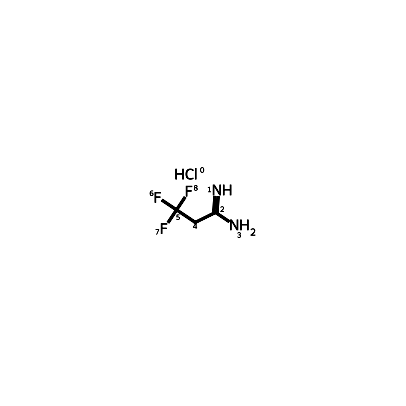 Cl.N=C(N)CC(F)(F)F